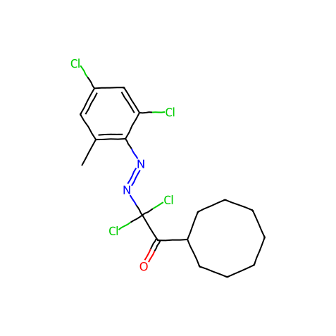 Cc1cc(Cl)cc(Cl)c1N=NC(Cl)(Cl)C(=O)C1CCCCCCC1